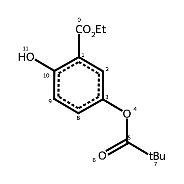 CCOC(=O)c1cc(OC(=O)C(C)(C)C)ccc1O